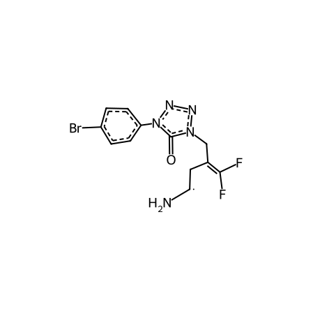 N[CH]CC(Cn1nnn(-c2ccc(Br)cc2)c1=O)=C(F)F